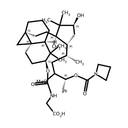 COC(C[C@@H](C)[C@H]1C[C@H](O)C(C)(C)[C@]1(C)CC[C@]12CCC[C@H]3C(C)(C)[C@@H](OC(=O)NCC(=O)O)CC[C@@]31C2)[C@H](OC(=O)N1CCC1)C(C)C